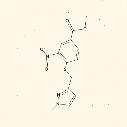 COC(=O)c1ccc(SCc2ccn(C)n2)c([N+](=O)[O-])c1